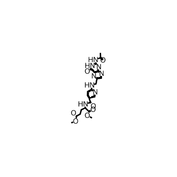 COC(=O)CCC(NC(=O)c1ccc(NCc2cnc3nc(NC(C)=O)[nH]c(=O)c3n2)nc1)C(=O)OC